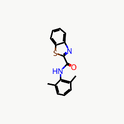 Cc1cccc(C)c1NC(=O)c1nc2ccccc2s1